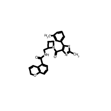 Cc1cccc(-c2sc(C)nc2C(=O)N2CCC2CNC(=O)c2cccc3c2C=CCO3)c1